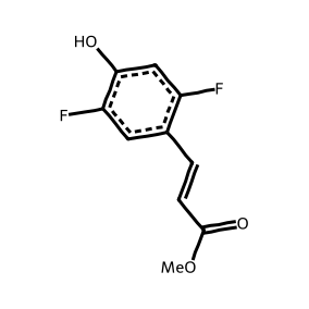 COC(=O)/C=C/c1cc(F)c(O)cc1F